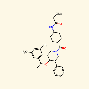 COCC(=O)N[C@H]1CC[C@H](C(=O)N2CCC(OC(C)c3cc(C(F)(F)F)cc(C(F)(F)F)c3)C(c3ccccc3)C2)CC1